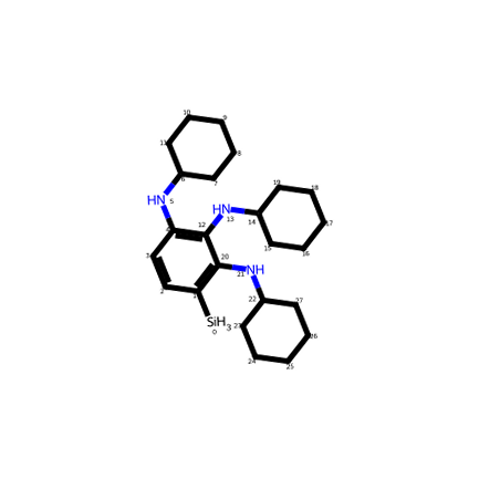 [SiH3]c1ccc(NC2CCCCC2)c(NC2CCCCC2)c1NC1CCCCC1